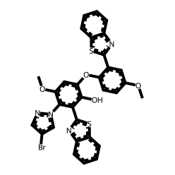 COc1ccc(Oc2cc(OC)c(-n3cc(Br)cn3)c(-c3nc4ccccc4s3)c2O)c(-c2nc3ccccc3s2)c1